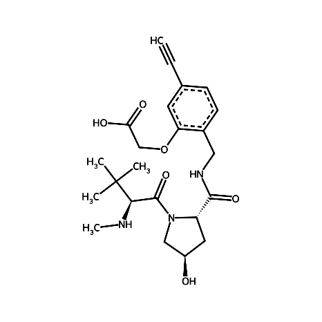 C#Cc1ccc(CNC(=O)[C@@H]2C[C@@H](O)CN2C(=O)[C@@H](NC)C(C)(C)C)c(OCC(=O)O)c1